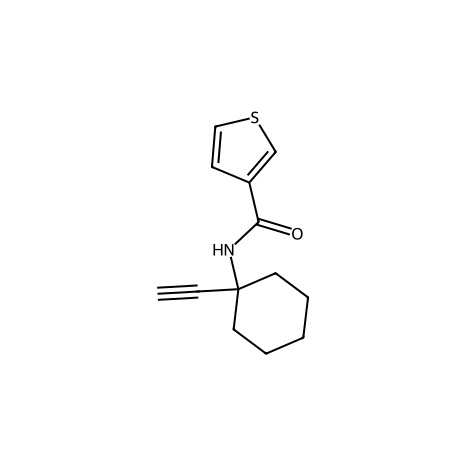 C#CC1(NC(=O)c2ccsc2)CCCCC1